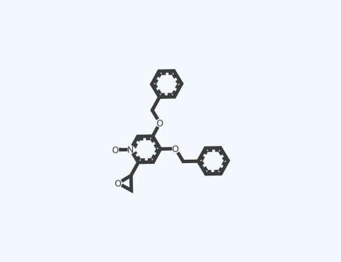 [O-][n+]1cc(OCc2ccccc2)c(OCc2ccccc2)cc1C1CO1